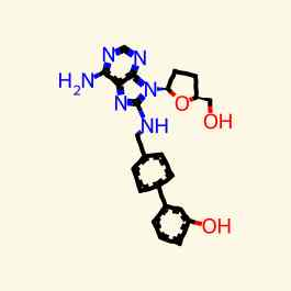 Nc1ncnc2c1nc(NCc1ccc(-c3cccc(O)c3)cc1)n2[C@H]1CC[C@@H](CO)O1